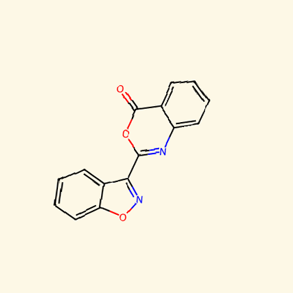 O=c1oc(-c2noc3ccccc23)nc2ccccc12